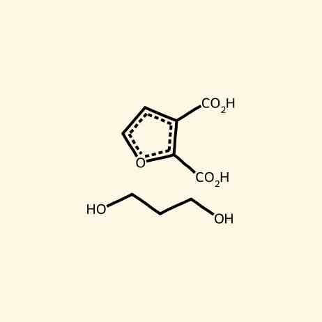 O=C(O)c1ccoc1C(=O)O.OCCCO